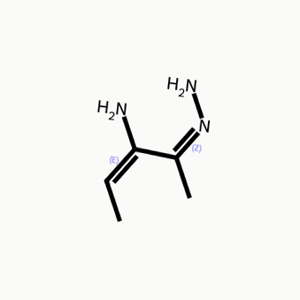 C/C=C(N)\C(C)=N/N